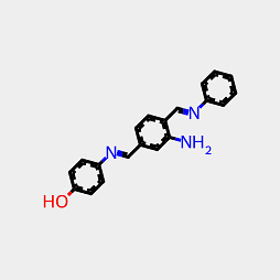 Nc1cc(/C=N/c2ccc(O)cc2)ccc1/C=N/c1ccccc1